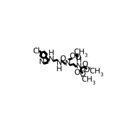 CCOC(=O)C(NCCCN(CCOC(C)=O)CC(=O)NCCNc1ccnc2cc(Cl)ccc12)C(=O)OCC